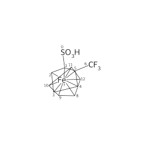 O=S(=O)(O)[C]12[CH]3[CH]4[CH]5[C]1(C(F)(F)F)[Fe]45321678[CH]2[CH]1[CH]6[CH]7[CH]28